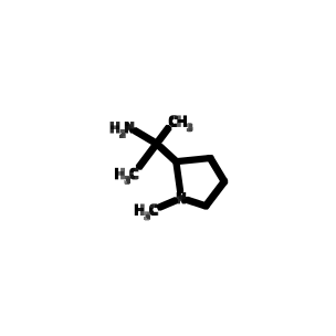 CN1CCCC1C(C)(C)N